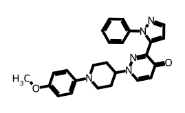 COc1ccc(N2CCC(n3ccc(=O)c(-c4ccnn4-c4ccccc4)n3)CC2)cc1